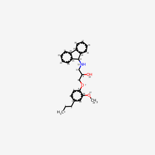 CCCc1ccc(OCC(O)CNC2c3ccccc3-c3ccccc32)c(OC)c1